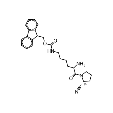 N#C[C@H]1CCCN1C(=O)C(N)CCCCNC(=O)OCC1c2ccccc2-c2ccccc21